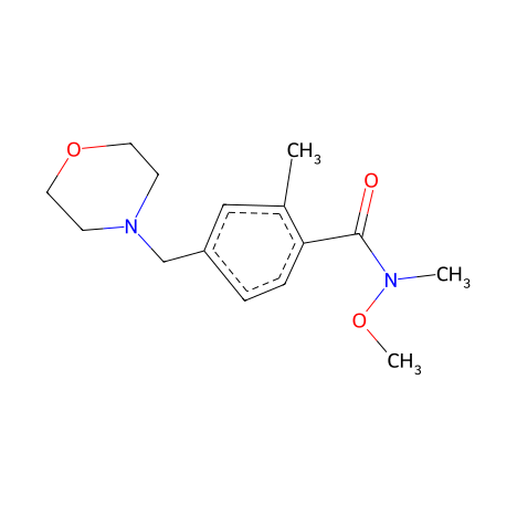 CON(C)C(=O)c1ccc(CN2CCOCC2)cc1C